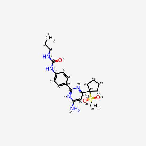 CCCNC(=O)Nc1ccc(-c2nc(N)cc(C3(S(C)(=O)=O)CCCC3)n2)cc1